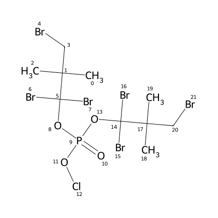 CC(C)(CBr)C(Br)(Br)OP(=O)(OCl)OC(Br)(Br)C(C)(C)CBr